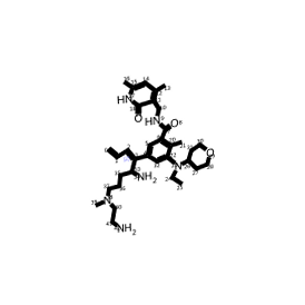 C=C/C=C(/c1cc(C(=O)NCc2c(C)cc(C)[nH]c2=O)c(C)c(N(CC)C2CCOCC2)c1)C(N)CCCN(C)CCN